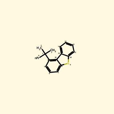 CCCC(C)(C)c1cccc2sc3ccccc3c12